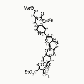 CCOC(=O)C(C(=O)OCC)C(Nc1ccc(Oc2ccnc3cc(-c4ccc(CN(CCOC)C(=O)OC(C)(C)C)cn4)sc23)c(F)c1)C(F)(F)F